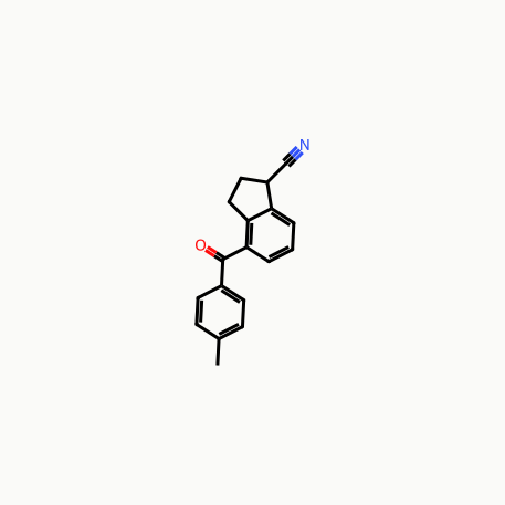 Cc1ccc(C(=O)c2cccc3c2CCC3C#N)cc1